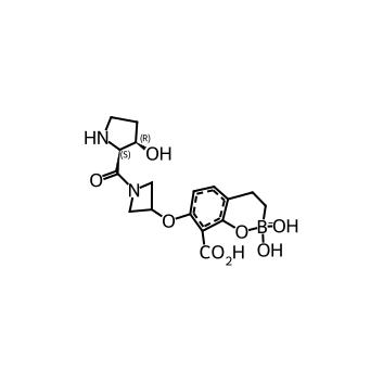 O=C(O)c1c(OC2CN(C(=O)[C@H]3NCC[C@H]3O)C2)ccc2c1O[B-](O)(O)CC2